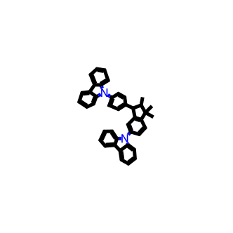 CC1C(c2ccc(-n3c4ccccc4c4ccccc43)cc2)c2cc(-n3c4ccccc4c4ccccc43)ccc2C1(C)C